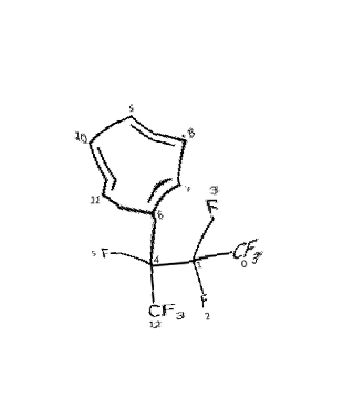 FC(F)(F)C(F)(F)C(F)(c1c[c]ccc1)C(F)(F)F